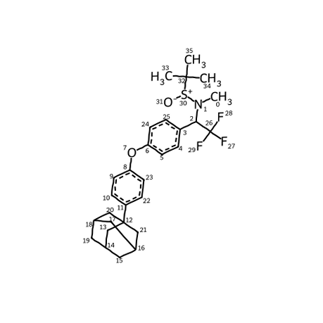 CN(C(c1ccc(Oc2ccc(C34CC5CC(CC(C5)C3)C4)cc2)cc1)C(F)(F)F)[S+]([O-])C(C)(C)C